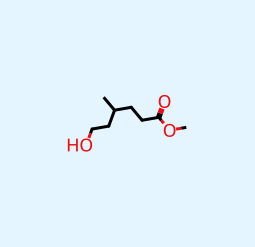 COC(=O)CCC(C)CCO